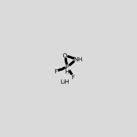 F[PH]1(F)NO1.[LiH]